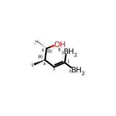 BC(B)=C[C@@H](C)[C@H](C)O